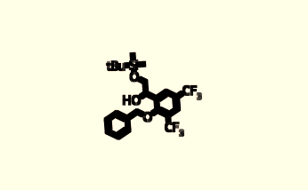 CC(C)(C)[Si](C)(C)OCC(O)c1cc(C(F)(F)F)cc(C(F)(F)F)c1OCc1ccccc1